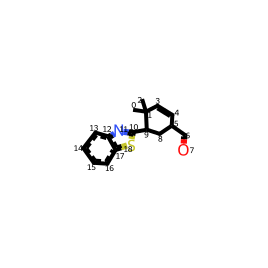 CC1(C)C=CC(C=O)CC1c1nc2ccccc2s1